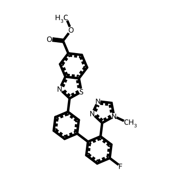 COC(=O)c1ccc2sc(-c3cccc(-c4ccc(F)cc4-c4nncn4C)c3)nc2c1